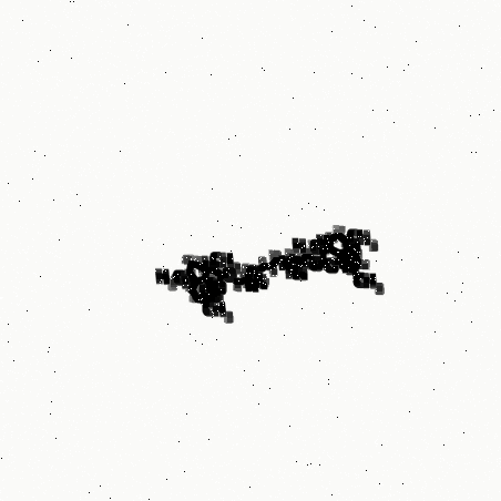 C[C@H]1[C@H](OCc2cn(CCCn3cc(CO[C@@H]4O[C@@H]5O[C@]6(C)CC[C@H]7[C@H](C)CC[C@@H]([C@H]4C)[C@@]57OO6)nn3)nn2)O[C@@H]2O[C@]3(C)CC[C@H]4[C@H](C)CC[C@@H]1[C@@]24OO3